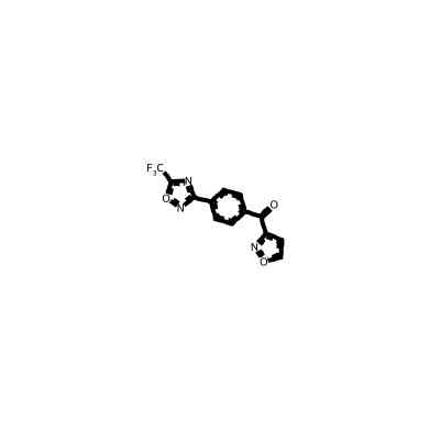 O=C(c1ccc(-c2noc(C(F)(F)F)n2)cc1)c1ccon1